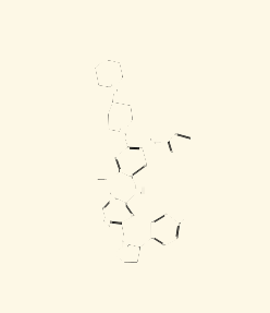 C=CC(=O)Nc1cc(Nc2cc(N3OCCC3c3ccc(F)cc3)ncn2)c(OC)cc1N1CCC(N2C[C@@H](C)O[C@@H](C)C2)CC1